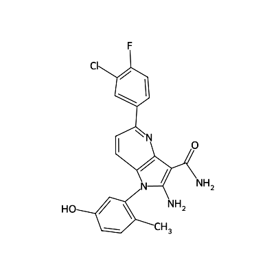 Cc1ccc(O)cc1-n1c(N)c(C(N)=O)c2nc(-c3ccc(F)c(Cl)c3)ccc21